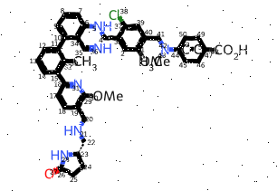 COc1cc(CNc2cccc(-c3cccc(-c4ccc(CNC[C@@H]5CCC(=O)N5)c(OC)n4)c3C)c2C=N)c(Cl)cc1CN(C)C12CCC(C(=O)O)(CC1)CC2